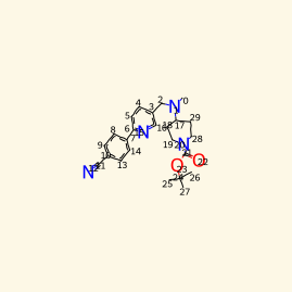 CN(Cc1ccc(-c2ccc(C#N)cc2)nc1)C1CCN(C(=O)OC(C)(C)C)CC1